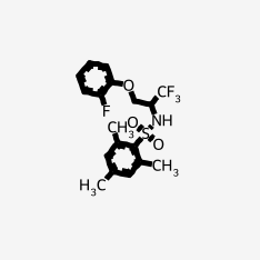 Cc1cc(C)c(S(=O)(=O)NC(COc2ccccc2F)C(F)(F)F)c(C)c1